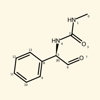 CNC(=O)N[C@@H](C=O)c1ccccc1